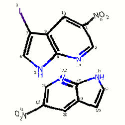 O=[N+]([O-])c1cnc2[nH]cc(I)c2c1.O=[N+]([O-])c1cnc2[nH]ccc2c1